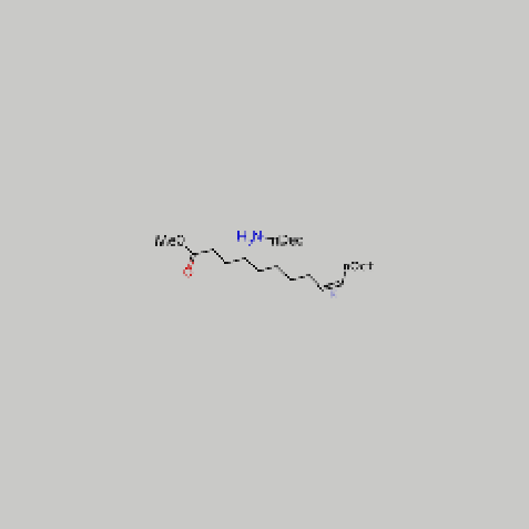 CCCCCCCC/C=C\CCCCCCCC(=O)OC.CCCCCCCCCCN